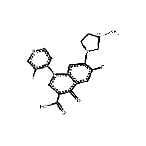 N[C@H]1CCN(c2cc3c(cc2F)c(=O)c(C(=O)O)cn3-c2ccncc2F)C1